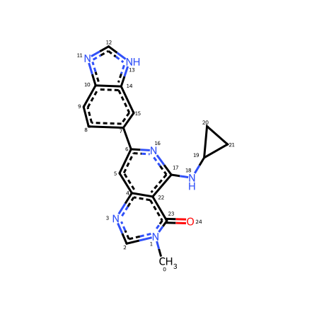 Cn1cnc2cc(-c3ccc4nc[nH]c4c3)nc(NC3CC3)c2c1=O